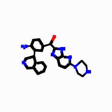 Nc1ccc(C(=O)c2nc3ccc(N4CCNCC4)nc3[nH]2)cc1-c1cncc2ccccc12